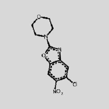 O=[N+]([O-])c1cc2oc(N3CCOCC3)nc2cc1Cl